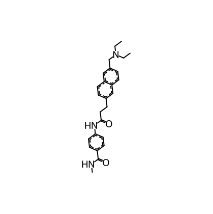 CCN(CC)Cc1ccc2cc(CCC(=O)Nc3ccc(C(=O)NC)cc3)ccc2c1